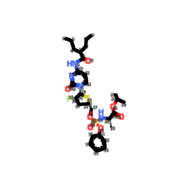 CCCC(CCC)C(=O)Nc1ccn([C@@H]2S[C@H](CO[P@@](=O)(N[C@@H](C)C(=O)OC(C)C)Oc3ccccc3)C[C@@H]2F)c(=O)n1